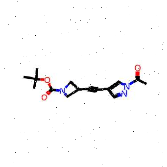 CC(=O)n1cc(C#CC2CN(C(=O)OC(C)(C)C)C2)cn1